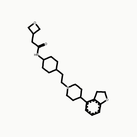 O=C(CC1COC1)NC1CCC(CCN2CCC(c3cccc4c3CCO4)CC2)CC1